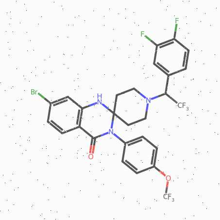 O=C1c2ccc(Br)cc2NC2(CCN(C(c3ccc(F)c(F)c3)C(F)(F)F)CC2)N1c1ccc(OC(F)(F)F)cc1